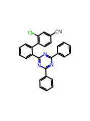 N#Cc1ccc(-c2ccccc2-c2nc(-c3ccccc3)nc(-c3ccccc3)n2)c(Cl)c1